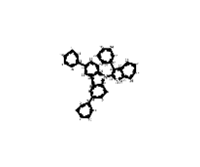 c1ccc(-c2ccc3c(c2)c2cc(-c4ccccc4)ccc2n3-c2sc3ccccc3c2-c2ccccc2)cc1